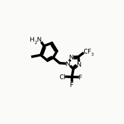 Cc1cc(Cn2nc(C(F)(F)F)nc2C(F)(F)Cl)ccc1N